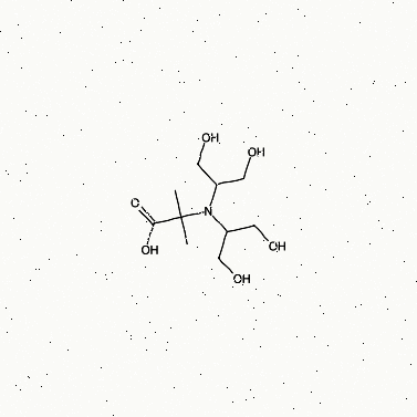 CC(C)(C(=O)O)N(C(CO)CO)C(CO)CO